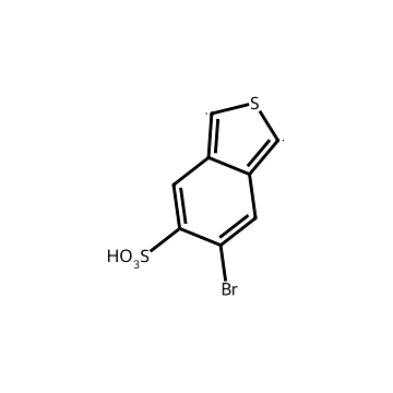 O=S(=O)(O)c1cc2[c]s[c]c2cc1Br